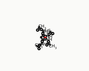 CCn1c2ccccc2c2cc(Nc3ccc4c(c3)c3cc(Nc5ccc6c(c5)c5ccccc5n6CC)ccc3n4C3CCC3n3c4ccc(Nc5ccc6c(c5)c5ccccc5n6CC)cc4c4cc(Nc5ccc6c(c5)c5ccccc5n6CC)ccc43)ccc21